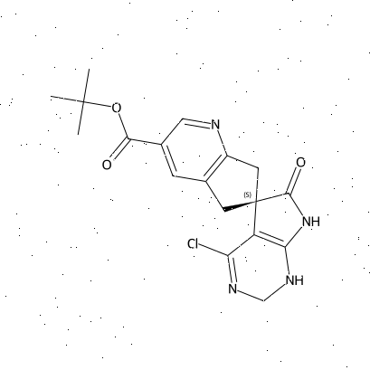 CC(C)(C)OC(=O)c1cnc2c(c1)C[C@@]1(C2)C(=O)NC2=C1C(Cl)=NCN2